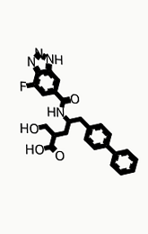 O=C(NC(Cc1ccc(-c2ccccc2)cc1)CC(CO)C(=O)O)c1cc(F)c2nn[nH]c2c1